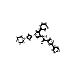 O=C(Nc1cn([C@H]2C[C@@H](N3CCOCC3)C2)nc1-c1cnccn1)c1coc(-c2cn[nH]c2)n1